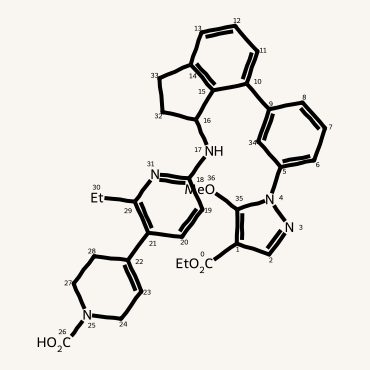 CCOC(=O)c1cnn(-c2cccc(-c3cccc4c3C(Nc3ccc(C5=CCN(C(=O)O)CC5)c(CC)n3)CC4)c2)c1OC